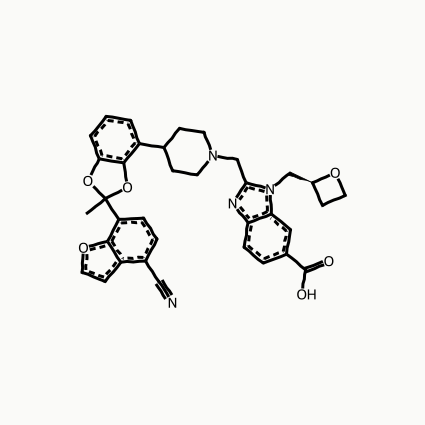 CC1(c2ccc(C#N)c3ccoc23)Oc2cccc(C3CCN(Cc4nc5ccc(C(=O)O)cc5n4C[C@@H]4CCO4)CC3)c2O1